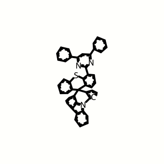 c1ccc(-c2cc(-c3ccccc3)nc(-c3cccc4c3Sc3ccccc3C43c4ccccc4-n4c5ccccc5c5cccc3c54)n2)cc1